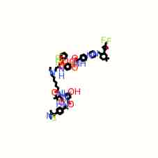 CCN(CCCCCCC(=O)NC(C(=O)N1C[C@H](O)C[C@H]1C(=O)N[C@@H](C)c1ccc(-c2scnc2C)cc1)C(C)(C)C)CCC(CSc1ccccc1)Nc1ccc(S(=O)(=O)NC(=O)c2ccc(N3CCN(CC4=C(C56CC(C(F)F)(C5)C6)CC(C)(C)CC4)CC3)cc2)cc1S(=O)(=O)C(F)(F)F